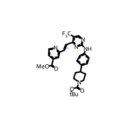 COC(=O)c1ccnc(/C=C/c2nc(Nc3ccc(C4CCN(C(=O)OC(C)(C)C)CC4)cc3)ncc2C(F)(F)F)c1